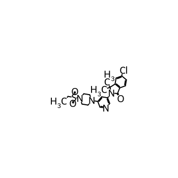 CCS(=O)(=O)N1CCN(c2cncc(N3C(=O)c4ccc(Cl)cc4C3(C)C)c2)CC1